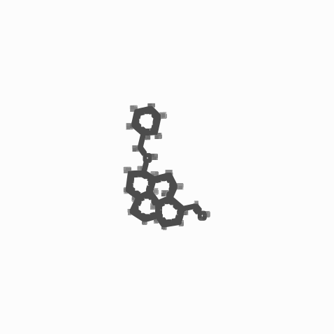 O=Cc1ccc2ccc3ccc(OCc4ccccc4)c4ccc1c2c34